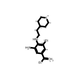 C=C(CC)c1cc(N)c(NCCC2CCSCC2)c(CC)c1